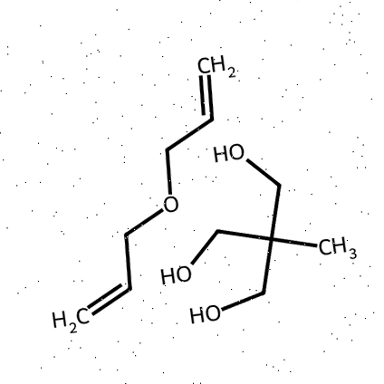 C=CCOCC=C.CC(CO)(CO)CO